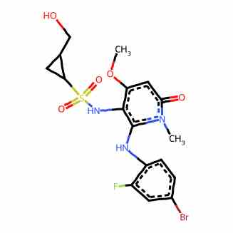 COc1cc(=O)n(C)c(Nc2ccc(Br)cc2F)c1NS(=O)(=O)C1CC1CO